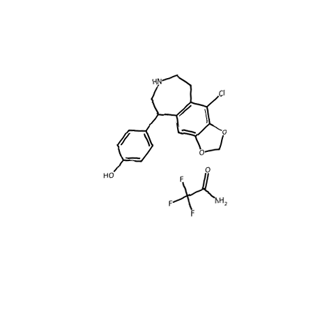 NC(=O)C(F)(F)F.Oc1ccc(C2CNCCc3c2cc2c(c3Cl)OCO2)cc1